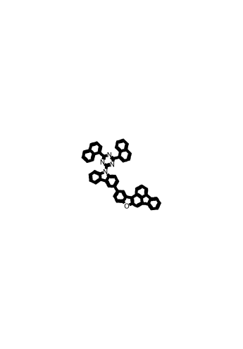 c1ccc2c(c1)-c1cccc3c1c-2cc1oc2ccc(-c4ccc5c(c4)c4ccccc4n5-c4nc(-c5cccc6ccccc56)nc(-c5cccc6ccccc56)n4)cc2c13